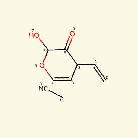 C=CC1C=COC(O)C1=O.CC#N